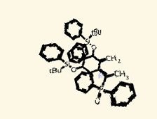 C=C1/C(=C(\C)P(=O)(c2ccccc2)c2ccccc2)CC(O[Si](c2ccccc2)(c2ccccc2)C(C)(C)C)CC1O[Si](c1ccccc1)(c1ccccc1)C(C)(C)C